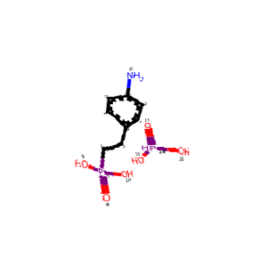 Nc1ccc(CCP(=O)(O)O)cc1.O=[PH](O)O